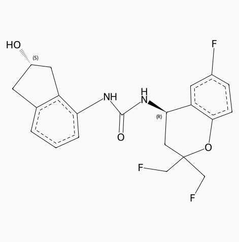 O=C(Nc1cccc2c1C[C@@H](O)C2)N[C@@H]1CC(CF)(CF)Oc2ccc(F)cc21